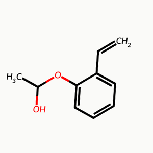 C=Cc1ccccc1OC(C)O